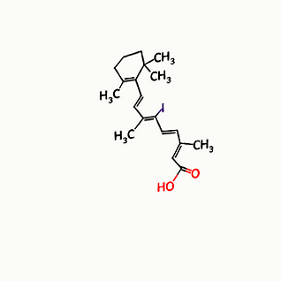 CC(C=CC(I)=C(C)C=CC1=C(C)CCCC1(C)C)=CC(=O)O